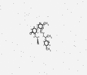 Cc1ccc([C@H](C)CCOc2nc(C)ncc2-c2ccc(=O)n(CCC#N)c2)nc1